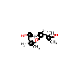 Cc1cc(C)c(Cc2ccccc2O)cc1COCc1cc(Cc2ccc(C)c(CO)c2C)c(C)cc1C